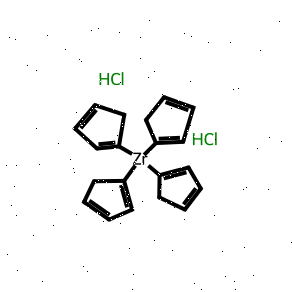 C1=CC[C]([Zr]([C]2=CC=CC2)([C]2=CC=CC2)[C]2=CC=CC2)=C1.Cl.Cl